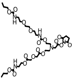 CCCOC(=O)NCCOCCOCCNC(=O)OCCN(CCOC(=O)COCC(=O)OCCNC(=O)OCCC)CC(=O)ON1C(=O)CCC1=O